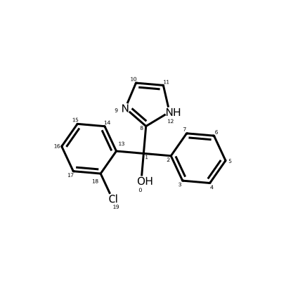 OC(c1ccccc1)(c1ncc[nH]1)c1ccccc1Cl